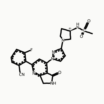 CS(=O)(=O)N[C@@H]1CCN(c2ccn(-c3cc(-c4c(F)cccc4C#N)nc4c3C(=O)NC4)n2)C1